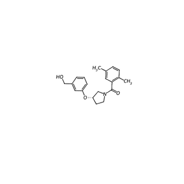 Cc1ccc(C)c(C(=O)N2CC[C@H](Oc3cccc(CO)c3)C2)c1